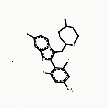 Cc1ccn2c(CC3CCC(C)CCO3)c(-c3c(F)cc(N)cc3F)nc2c1